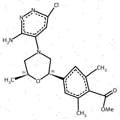 COC(=O)c1c(C)cc([C@@H]2CN(c3cc(Cl)nnc3N)C[C@H](C)O2)cc1C